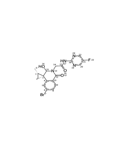 C[C@H]1C[C@]12c1cc(Br)ccc1C(=O)N(CC(=O)Nc1ncc(F)cn1)C2O